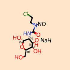 O=NN(CCCl)C(=O)N[C@@H]1[C@@H](O)[C@H](O)[C@@H](CO)O[C@@H]1O.[NaH]